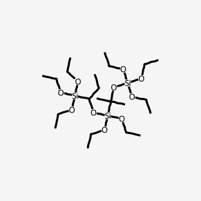 CCO[Si](OCC)(OCC)OC(C)(C)[Si](OCC)(OCC)OC(CC)[Si](OCC)(OCC)OCC